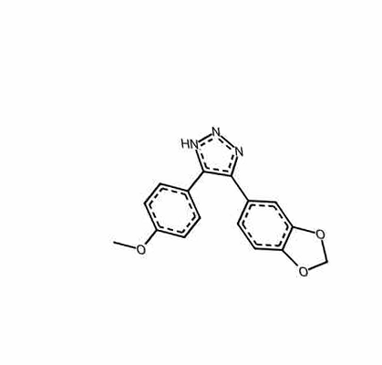 COc1ccc(-c2[nH]nnc2-c2ccc3c(c2)OCO3)cc1